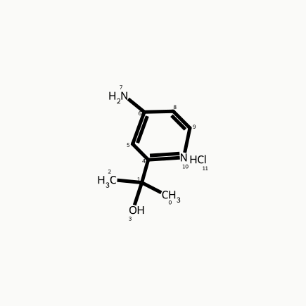 CC(C)(O)c1cc(N)ccn1.Cl